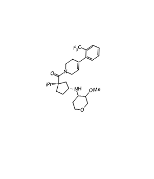 COC1COCCC1N[C@@H]1CC[C@@](C(=O)N2CC=C(c3ccccc3C(F)(F)F)CC2)(C(C)C)C1